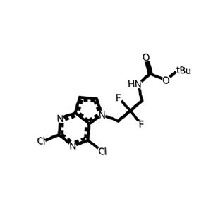 CC(C)(C)OC(=O)NCC(F)(F)Cn1ccc2nc(Cl)nc(Cl)c21